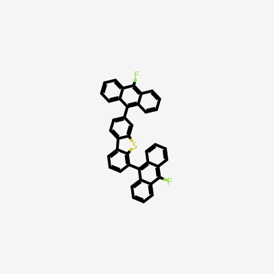 Fc1c2ccccc2c(-c2ccc3c(c2)sc2c(-c4c5ccccc5c(F)c5ccccc45)cccc23)c2ccccc12